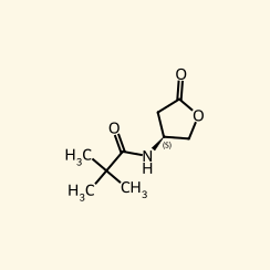 CC(C)(C)C(=O)N[C@@H]1COC(=O)C1